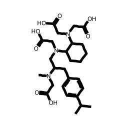 CC(C)c1ccc(CC(CN(CC(=O)O)C2CCCCC2N(CC(=O)O)CC(=O)O)N(C)CC(=O)O)cc1